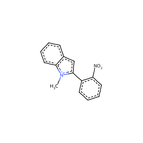 Cn1c(-c2ccccc2[N+](=O)[O-])cc2ccccc21